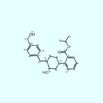 CC(C)OC(=O)c1cccnc1N1CCN(Cc2ccc(CO)cc2)CC1.Cl